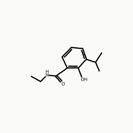 CCNC(=O)c1cccc(C(C)C)c1O